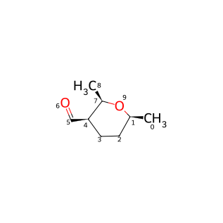 C[C@H]1CC[C@@H](C=O)[C@@H](C)O1